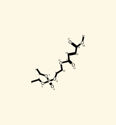 CCOP(=O)(OCC)OCCOC(=O)/C=C/C(=O)OC